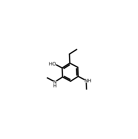 CCc1cc(NC)cc(NC)c1O